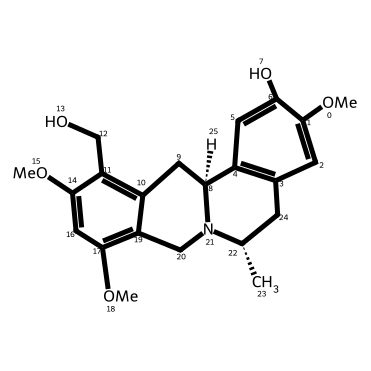 COc1cc2c(cc1O)[C@@H]1Cc3c(CO)c(OC)cc(OC)c3CN1[C@@H](C)C2